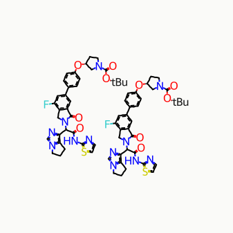 CC(C)(C)OC(=O)N1CC[C@H](Oc2ccc(-c3cc(F)c4c(c3)C(=O)N(C(C(=O)Nc3nccs3)c3ncn5c3CCC5)C4)cc2)C1.CC(C)(C)OC(=O)N1CC[C@H](Oc2ccc(-c3cc(F)c4c(c3)C(=O)N(C(C(=O)Nc3nccs3)c3ncn5c3CCC5)C4)cc2)C1